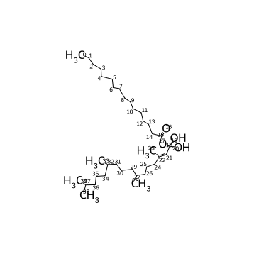 CCCCCCCCCCCCCCCC(=O)OC(O)(O)/C=C(\C)CCC[C@H](C)CCC[C@H](C)CCCC(C)C